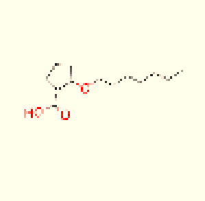 CCCCCCCOC1CCCC1C(=O)O